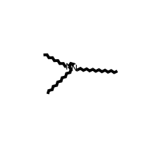 CCCCCCCCCCCCCCN1C=CN(CCCCCCCCC)C1CCCCCCCCCCC